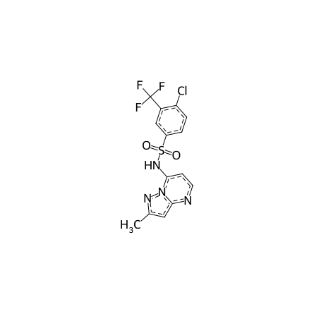 Cc1cc2nccc(NS(=O)(=O)c3ccc(Cl)c(C(F)(F)F)c3)n2n1